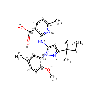 CCC(C)(C)c1cc(Nc2nc(C)ccc2C(=O)O)n(-c2cc(C)ccc2OC)n1